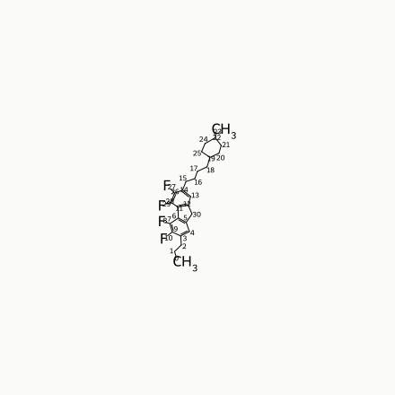 CCCc1cc2c(c(F)c1F)-c1c(cc(CCCCC3CCC(C)CC3)c(F)c1F)C2